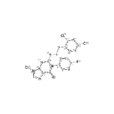 CCn1cnc2c(=O)n(-c3ccc(F)cc3)c(SCCc3ccc(Cl)cc3Cl)nc21